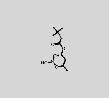 CC(CCOC(=O)OC(C)(C)C)ON(O)O